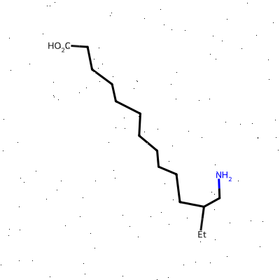 CCC(CN)CCCCCCCCCCC(=O)O